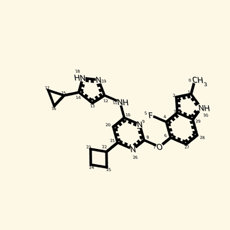 Cc1cc2c(F)c(Oc3nc(Nc4cc(C5CC5)[nH]n4)cc(C4CCC4)n3)ccc2[nH]1